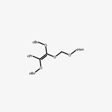 CCCCCCOCOC(OCCCC)=C(CCC)OCCCC